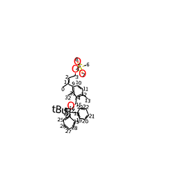 C/C(=C/COS(C)(=O)=O)c1ccc(C)c(CO[Si](c2ccccc2)(c2ccccc2)C(C)(C)C)c1C